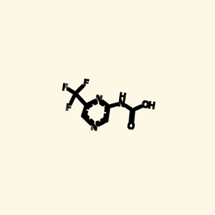 O=C(O)Nc1cncc(C(F)(F)F)n1